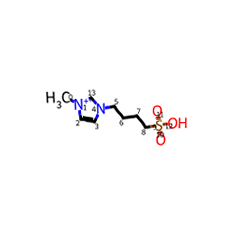 C[n+]1ccn(CCCCS(=O)(=O)O)c1